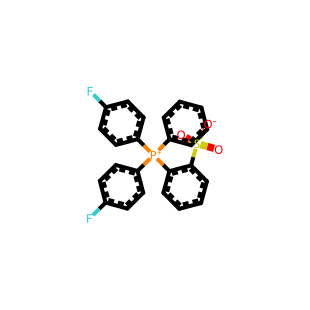 O=S(=O)([O-])c1ccccc1[P+](c1ccccc1)(c1ccc(F)cc1)c1ccc(F)cc1